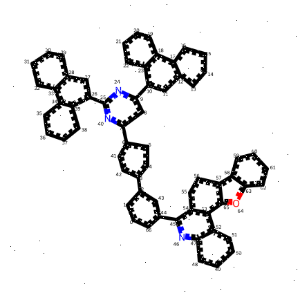 c1cc(-c2ccc(-c3cc(-c4cc5ccccc5c5ccccc45)nc(-c4cc5ccccc5c5ccccc45)n3)cc2)cc(-c2nc3ccccc3c3c2ccc2c4ccccc4oc23)c1